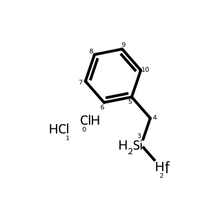 Cl.Cl.[Hf][SiH2]Cc1ccccc1